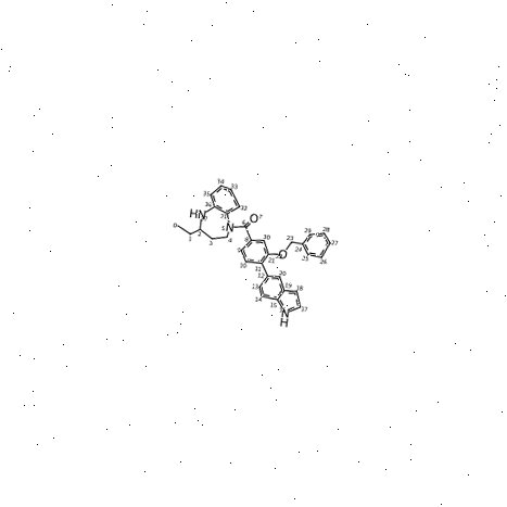 CCC1CCN(C(=O)c2ccc(-c3ccc4[nH]ccc4c3)c(OCc3ccccc3)c2)c2ccccc2N1